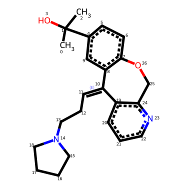 CC(C)(O)c1ccc2c(c1)/C(=C/CCN1CCCC1)c1cccnc1CO2